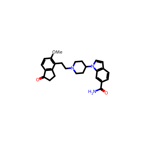 COc1ccc2c(c1CCN1CCC(n3ccc4ccc(C(N)=O)cc43)CC1)CCC2=O